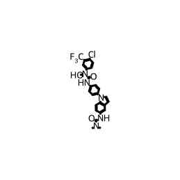 CN(C)C(=O)Nc1ccc2c(ccn2-c2ccc(NC(=O)N(O)c3ccc(Cl)c(C(F)(F)F)c3)cc2)c1